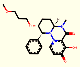 COCCCO[C@@H]1CC[C@H]2N(C)C(=O)c3c(O)c(=O)ccn3N2[C@@H]1c1ccccc1